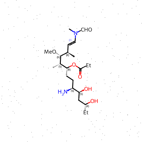 CCC(=O)O[C@H](CC[C@H](N)[C@@H](O)C[C@H](O)CC)[C@H](C)[C@H](OC)[C@H](C)/C=C/N(C)C=O